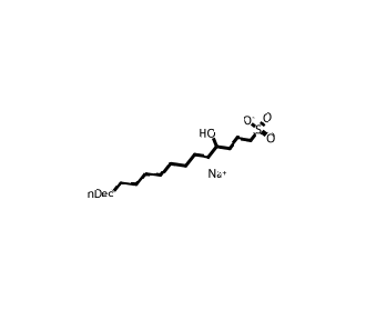 CCCCCCCCCCCCCCCCCCC(O)CCCS(=O)(=O)[O-].[Na+]